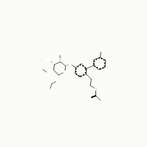 CO[C@@H]1[C@@H](O)[C@@H](O)[C@@H](Oc2ccc(CCNC(C)=O)c(-c3cccc(F)c3)c2)O[C@@H]1CCO